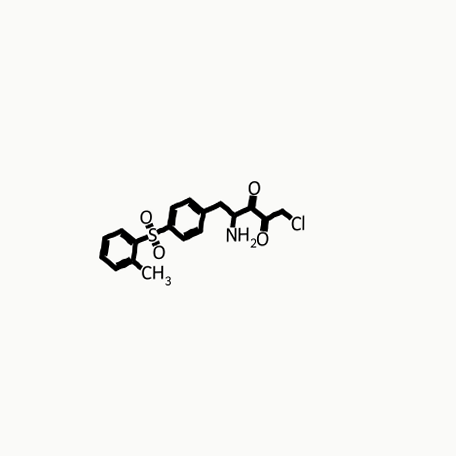 Cc1ccccc1S(=O)(=O)c1ccc(CC(N)C(=O)C(=O)CCl)cc1